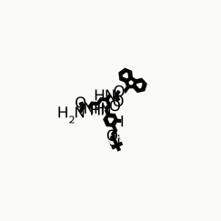 CC(C)(C)[Si](C)(C)OCc1ccc(NC(=O)C(CCCNC(N)=O)NC(=O)OCC2c3ccccc3-c3ccccc32)cc1I